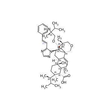 CC(C)[C@@H](C)[C@@]1(C)CC[C@]2(C)[C@H]3CC[C@@H]4[C@@]5(COC[C@@]4(C)[C@@H](OC[C@](C)(N)C(C)C)[C@H](n4ncnc4/C=C/c4ccccc4)C5)C3=CC[C@@]2(C)[C@@H]1C(=O)O